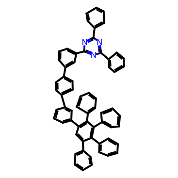 c1ccc(-c2nc(-c3ccccc3)nc(-c3cccc(-c4ccc(-c5cccc(-c6cc(-c7ccccc7)c(-c7ccccc7)c(-c7ccccc7)c6-c6ccccc6)c5)cc4)c3)n2)cc1